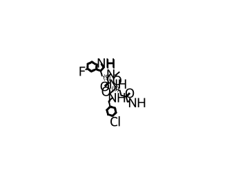 CC(=O)N[C@@H](Cc1c[nH]c2ccc(F)cc12)C(=O)N[C@@H](CCC(=O)C=N)C(=O)NCc1ccc(Cl)cc1